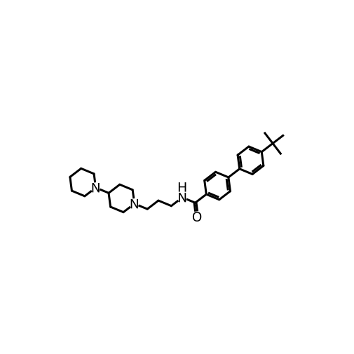 CC(C)(C)c1ccc(-c2ccc(C(=O)NCCCN3CCC(N4CCCCC4)CC3)cc2)cc1